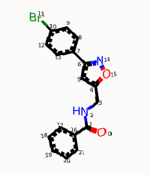 O=C(NCc1cc(-c2ccc(Br)cc2)no1)c1ccccc1